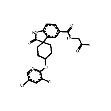 CC(=O)CNC(=O)c1ccc2c(c1)C1(CCC(Oc3ncc(Cl)cc3Cl)CC1)C(=O)N2